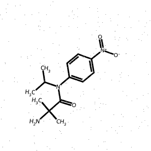 CC(C)N(C(=O)C(C)(C)N)c1ccc([N+](=O)[O-])cc1